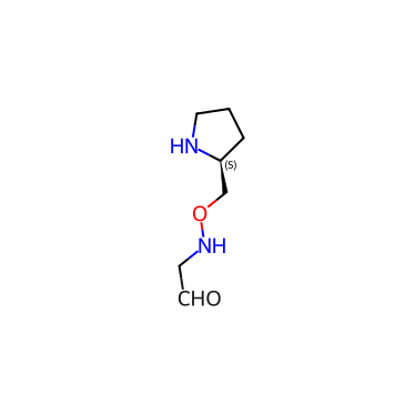 O=CCNOC[C@@H]1CCCN1